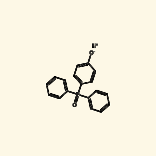 O=P(c1ccccc1)(c1ccccc1)c1ccc([O-])cc1.[Li+]